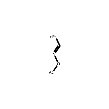 CCCC=NOC(C)=O